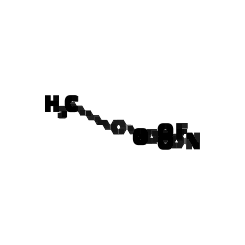 CCCCCCCCCC[C@H]1CC[C@H](CCCOc2ccc(C(=O)Oc3ccc(C#N)c(F)c3)cc2)CC1